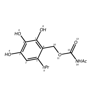 CCCc1cc(O)c(O)c(O)c1COC(=O)NC(C)=O